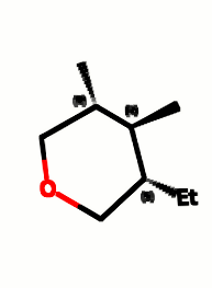 CC[C@@H]1COC[C@H](C)[C@H]1C